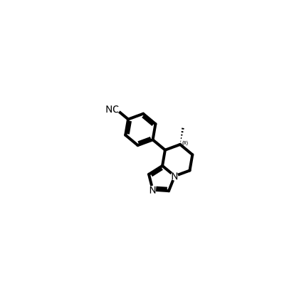 C[C@@H]1CCn2cncc2C1c1ccc(C#N)cc1